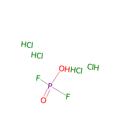 Cl.Cl.Cl.Cl.O=P(O)(F)F